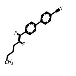 CCCC/C(F)=C(\F)c1ccc(-c2ccc(C#N)cc2)cc1